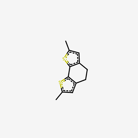 Cc1cc2c(s1)-c1sc(C)cc1CC2